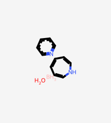 B.C1=CC=CNC=C1.O.c1ccncc1